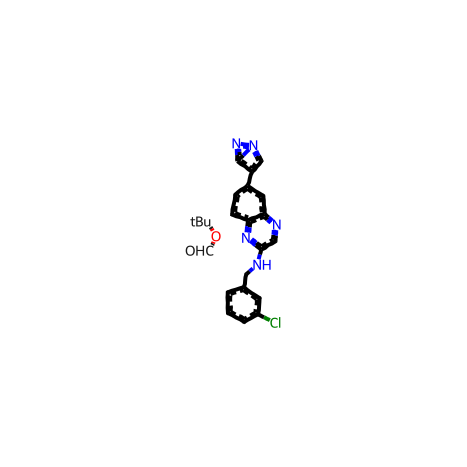 CC(C)(C)OC=O.Clc1cccc(CNc2cnc3cc(-c4cn5nc4-5)ccc3n2)c1